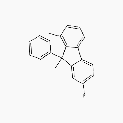 Cc1cccc2c1C(C)(c1ccccc1)c1cc(F)ccc1-2